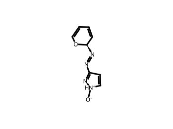 [O-][NH+]1C=CC(N=N[C@@H]2C=CC=CO2)=N1